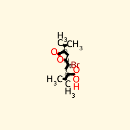 CC(C)[C@H](C[C@@H](Br)[C@@H]1C[C@@H](C(C)C)C(=O)O1)C(=O)O